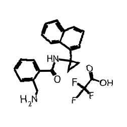 NCc1ccccc1C(=O)NC1(c2cccc3ccccc23)CC1.O=C(O)C(F)(F)F